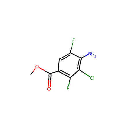 COC(=O)c1cc(F)c(N)c(Cl)c1F